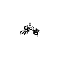 CN(c1nc(C(=O)NCc2ccc(F)cc2S(C)(=O)=O)c(O)c2ncccc12)S(=O)(=O)c1cn(C)cn1